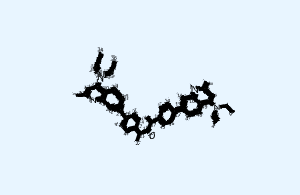 CCN(CC)c1cc(C)nc2cc(-c3ccc(C(C)C(=O)C(C)c4ccc(-c5ccc6c(N(CC)CC)cc(C)nc6c5)cc4)cc3)ccc12